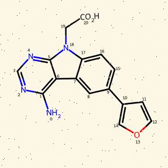 Nc1ncnc2c1c1cc(-c3ccoc3)ccc1n2CC(=O)O